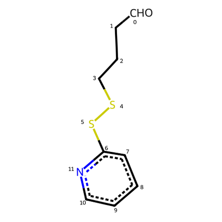 O=CCCCSSc1ccccn1